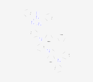 c1ccc(C2=NC(c3cccc(-n4c5ccc(-c6ccccc6)cc5c5c(-n6ccc7c6ccc6c8ccccc8n(-c8ccccc8)c67)cccc54)c3)=NC(c3ccccc3)N2)cc1